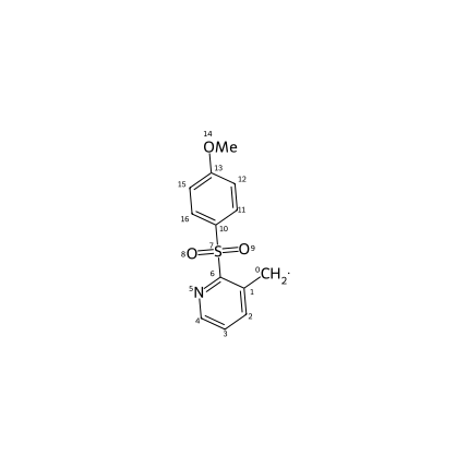 [CH2]c1cccnc1S(=O)(=O)c1ccc(OC)cc1